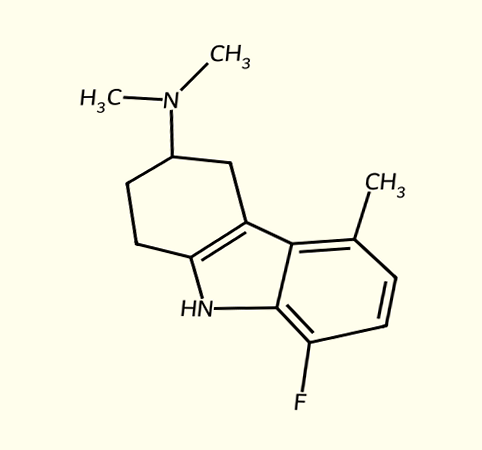 Cc1ccc(F)c2[nH]c3c(c12)CC(N(C)C)CC3